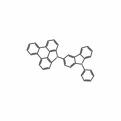 c1ccc(-n2c3ccccc3c3cc(-n4c5cccc6c7ccccc7c7cccc4c7c65)ccc32)cc1